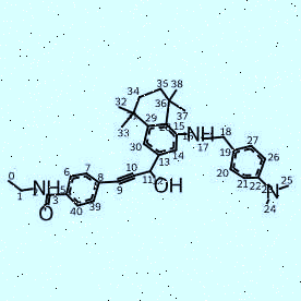 CCNC(=O)c1ccc(C#CC(O)c2cc(NCCc3ccc(N(C)C)cc3)c3c(c2)C(C)(C)CCC3(C)C)cc1